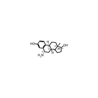 C[C@]12CC[C@@H]3c4ccc(O)cc4[C@@H](N)C[C@H]3[C@@H]1CC[C@@H]2O